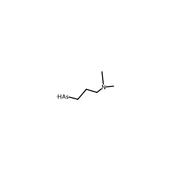 CN(C)CCC[AsH]